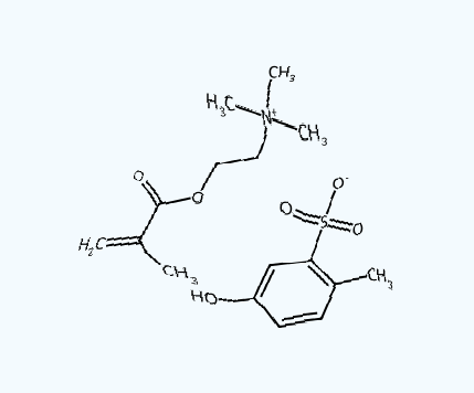 C=C(C)C(=O)OCC[N+](C)(C)C.Cc1ccc(O)cc1S(=O)(=O)[O-]